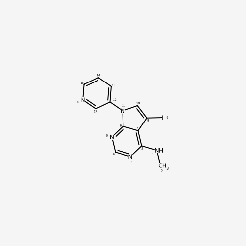 CNc1ncnc2c1c(I)cn2-c1cccnc1